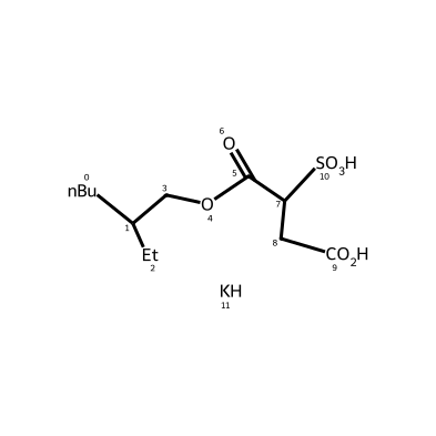 CCCCC(CC)COC(=O)C(CC(=O)O)S(=O)(=O)O.[KH]